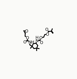 C=C(C)C(=O)OCCOC(=O)NC1CC(C)(C)CC(C)(CNC(=O)OCC2CO2)C1